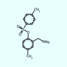 CNCc1cc(C)ccc1OS(=O)(=O)c1ccc(C)cc1